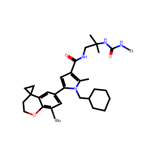 CCNC(=O)NC(C)(C)CNC(=O)c1cc(-c2cc(C(C)(C)C)c3c(c2)C2(CCO3)CC2)n(CC2CCCCC2)c1C